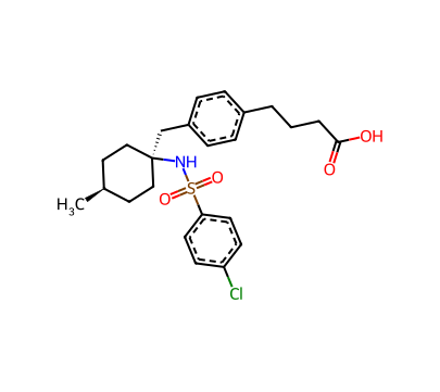 C[C@H]1CC[C@@](Cc2ccc(CCCC(=O)O)cc2)(NS(=O)(=O)c2ccc(Cl)cc2)CC1